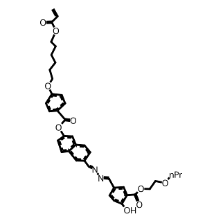 C=CC(=O)OCCCCCCOc1ccc(C(=O)Oc2ccc3cc(/C=N/N=C/c4ccc(O)c(C(=O)OCCOCCC)c4)ccc3c2)cc1